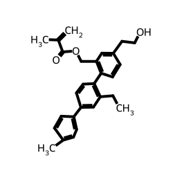 C=C(C)C(=O)OCc1cc(CCO)ccc1-c1ccc(-c2ccc(C)cc2)cc1CC